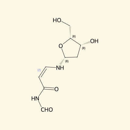 O=CNC(=O)/C=C\N[C@H]1C[C@@H](O)[C@@H](CO)O1